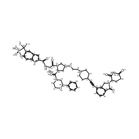 CC(C)(C)[C@H](NC(=O)c1cc2cc(C(F)(F)P(=O)(O)O)ccc2s1)C(=O)N1C[C@@H](OCCN2CCC(C#Cc3cccc4c3CN(C3CCC(=O)NC3=O)C4=O)CC2)C[C@H]1C(=O)N1CCO[C@H](c2ccccc2)C1